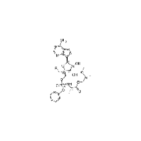 CO[C@H](C)COC(=O)[C@H](C)N[P@@](=O)(OC[C@@]1(CF)O[C@@H](c2ccc3c(N)ncnn23)[C@H](O)[C@@H]1O)Oc1ccccc1